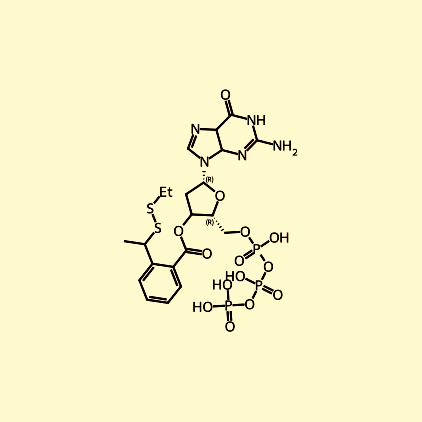 CCSSC(C)c1ccccc1C(=O)OC1C[C@H](N2C=NC3C(=O)NC(N)=NC32)O[C@@H]1COP(=O)(O)OP(=O)(O)OP(=O)(O)O